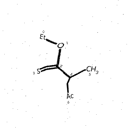 CCOC(=S)C(C)C(C)=O